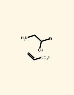 C=CC(=O)O.CCC(O)CN